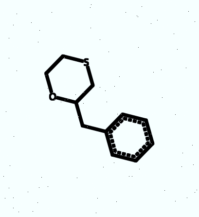 c1ccc(CC2CSCCO2)cc1